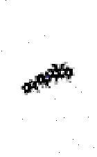 C=C1C(CC)=C2C(Cc3c(C)cccc3C2CI)C(C)=C1/C(CC(C)(C)C)=C(\C)c1ccc(C2Cc3ccccc3C2=C)cc1